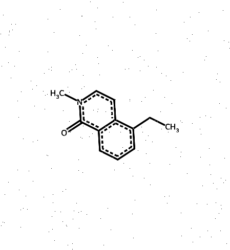 CCc1cccc2c(=O)n(C)ccc12